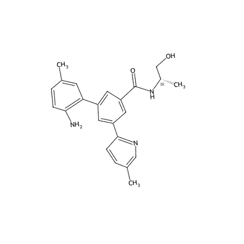 Cc1ccc(-c2cc(C(=O)N[C@@H](C)CO)cc(-c3cc(C)ccc3N)c2)nc1